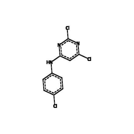 Clc1ccc(Nc2cc(Cl)nc(Cl)n2)cc1